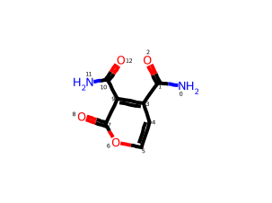 NC(=O)c1ccoc(=O)c1C(N)=O